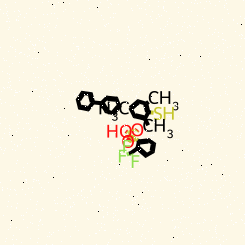 Cc1cc(C)c(S)c(C)c1.O=S(=O)(O)c1ccccc1C(F)(F)F.c1ccc(-c2ccccc2)cc1